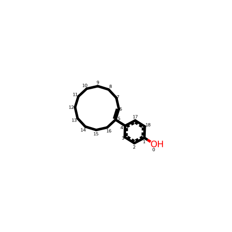 Oc1ccc(C2=CCCCCCCCCCC2)cc1